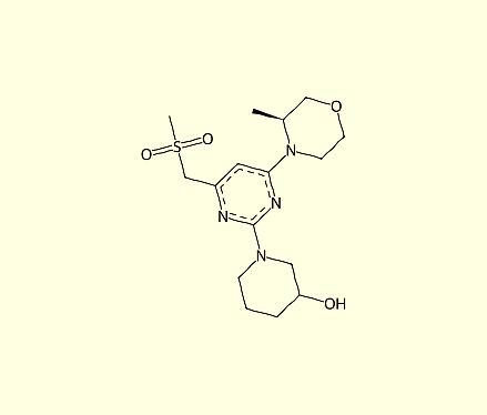 C[C@H]1COCCN1c1cc(CS(C)(=O)=O)nc(N2CCCC(O)C2)n1